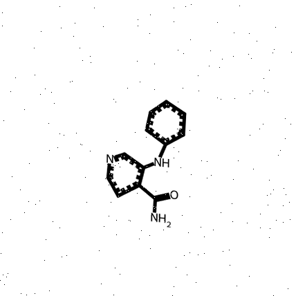 NC(=O)c1ccncc1Nc1ccccc1